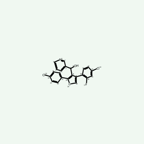 OC(c1cccnc1)c1c(-c2ccc(Cl)cc2F)coc1-c1ccc(Cl)cc1